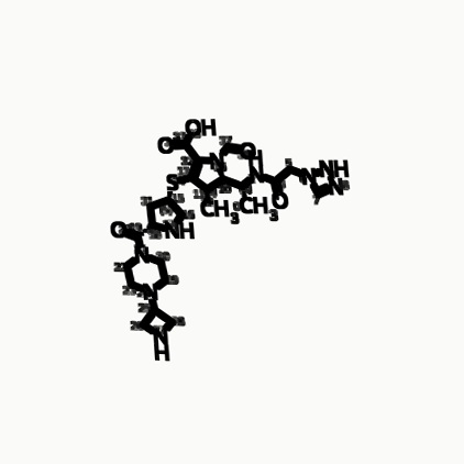 C[C@@H](NC(=O)Cn1cn[nH]1)[C@H]1[C@@H](C)C(S[C@@H]2CN[C@H](C(=O)N3CCN(C4CNC4)CC3)C2)=C(C(=O)O)N1C=O